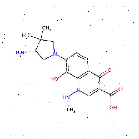 CNn1cc(C(=O)O)c(=O)c2ccc(N3C[C@H](N)C(C)(C)C3)c(O)c21